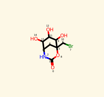 O=C1NC2CC(CBr)(O1)C(O)C(O)C2O